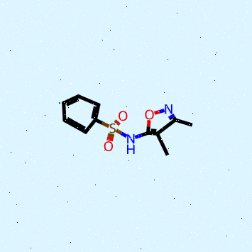 Cc1noc(NS(=O)(=O)c2cc[c]cc2)c1C